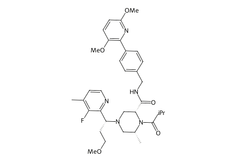 COCC[C@H](c1nccc(C)c1F)N1C[C@@H](C)N(C(=O)C(C)C)[C@@H](C(=O)NCc2ccc(-c3nc(OC)ccc3OC)cc2)C1